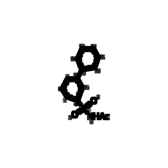 CC(=O)NS(=O)(=O)c1cccc(-c2ccccc2)c1